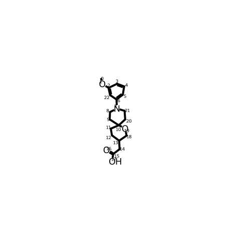 COc1cccc(N2CCC3(CCC(CC(=O)O)CO3)CC2)c1